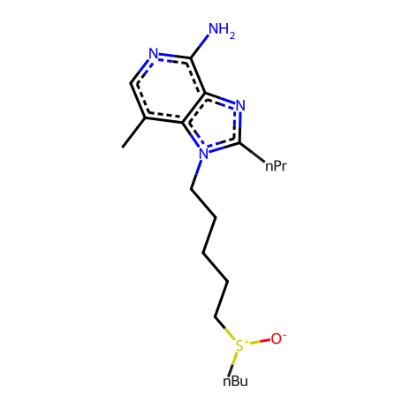 CCCC[S+]([O-])CCCCCn1c(CCC)nc2c(N)ncc(C)c21